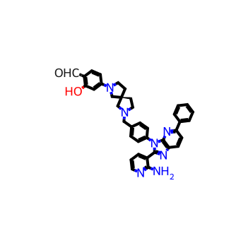 Nc1ncccc1-c1nc2ccc(-c3ccccc3)nc2n1-c1ccc(CN2CC[C@@]3(CCN(c4ccc(C=O)c(O)c4)C3)C2)cc1